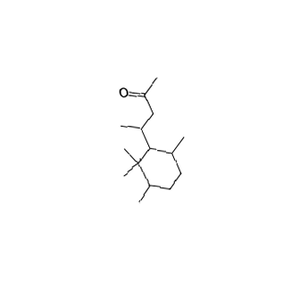 CC(=O)CC(C)C1C(C)CCC(C)C1(C)C